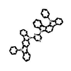 c1ccc(-n2c3ccccc3c3cc4c(cc32)c2ccccc2n4-c2cncc(-n3c4ccccc4c4c3ccc3c5ccccc5n(-c5ccccc5)c34)n2)cc1